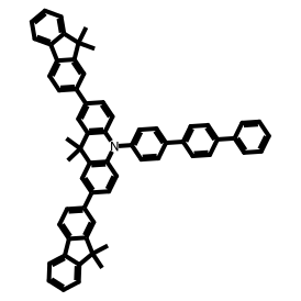 CC1(C)c2ccccc2-c2ccc(-c3ccc4c(c3)C(C)(C)c3cc(-c5ccc6c(c5)C(C)(C)c5ccccc5-6)ccc3N4c3ccc(-c4ccc(-c5ccccc5)cc4)cc3)cc21